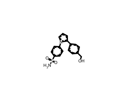 NS(=O)(=O)c1ccc(-n2cccc2-c2ccc(CO)cc2)cc1